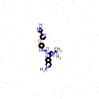 CC(C)n1cc(NC(=O)Nc2ccc(Oc3ccnc(-c4cn[nH]c4)c3)cc2)c(-c2ccc3c(c2)CCN(C)C3)n1